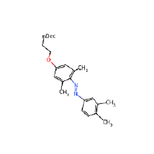 CCCCCCCCCCCCOc1cc(C)c(/N=N/c2ccc(C)c(C)c2)c(C)c1